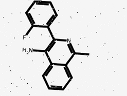 Cc1nc(-c2ccccc2F)c(N)c2ccccc12